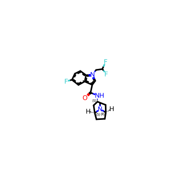 CN1[C@@H]2CC[C@H]1C[C@H](NC(=O)c1cn(CC(F)F)c3ccc(F)cc13)C2